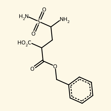 NC(CC(C(=O)O)C(=O)OCc1ccccc1)S(N)(=O)=O